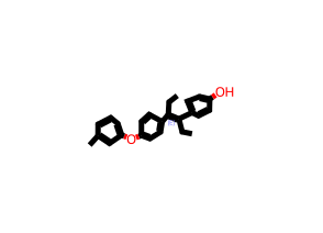 CC/C(=C(/CC)c1ccc(Oc2cccc(C)c2)cc1)c1ccc(O)cc1